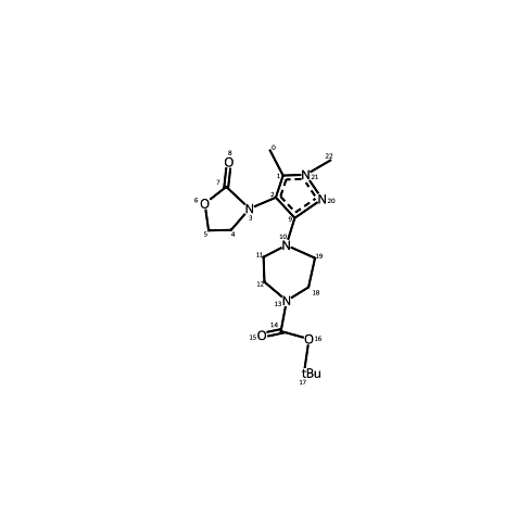 Cc1c(N2CCOC2=O)c(N2CCN(C(=O)OC(C)(C)C)CC2)nn1C